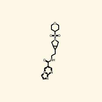 O=C(NCCC1C2CN(S(=O)(=O)C3CCOCC3)CC12)c1cnc2nccn2c1